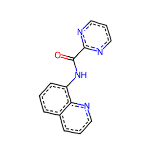 O=C(Nc1cccc2cccnc12)c1ncccn1